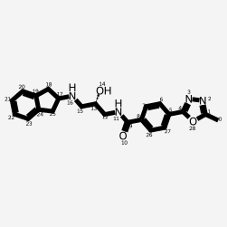 Cc1nnc(-c2ccc(C(=O)NC[C@@H](O)CNC3Cc4ccccc4C3)cc2)o1